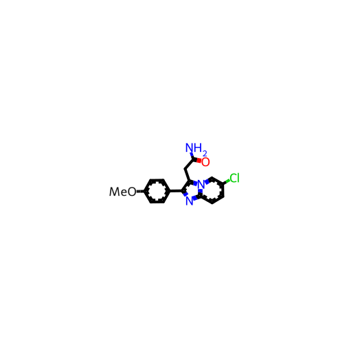 COc1ccc(-c2nc3ccc(Cl)cn3c2CC(N)=O)cc1